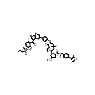 CCCC(=O)N(CC(C)(C)CC(=O)N1C[C@@H](O)C[C@H]1C(=O)NCc1ccc(-c2scnc2C)cc1)Oc1ccc(-c2cnc3[nH]cc(C(=O)c4c(F)ccc(NS(=O)(=O)CCC)c4F)c3c2)cc1